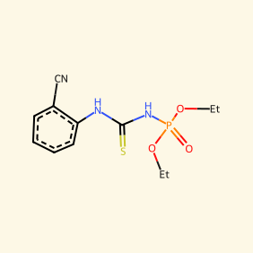 CCOP(=O)(NC(=S)Nc1ccccc1C#N)OCC